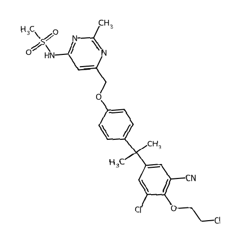 Cc1nc(COc2ccc(C(C)(C)c3cc(Cl)c(OCCCl)c(C#N)c3)cc2)cc(NS(C)(=O)=O)n1